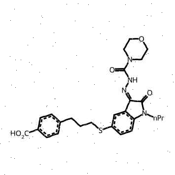 CCCN1C(=O)C(=NNC(=O)N2CCOCC2)c2cc(SCCCc3ccc(C(=O)O)cc3)ccc21